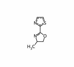 CC1COC(c2nccs2)=N1